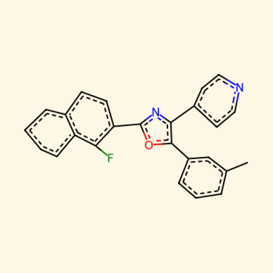 Cc1cccc(-c2oc(-c3ccc4ccccc4c3F)nc2-c2ccncc2)c1